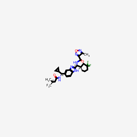 Cc1nonc1C(=O)N[C@H](c1nc2cc([C@H](NC(=O)C[C@H](C)C(F)(F)F)C3CC3)ccc2[nH]1)[C@@H]1CCCC(F)(F)C1